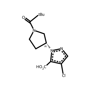 CC(C)(C)C(=O)N1CC[C@@H](n2ncc(Cl)c2C(=O)O)C1